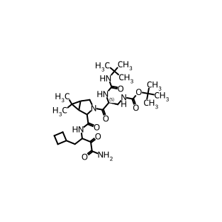 CC(C)(C)NC(=O)N[C@@H](CNC(=O)OC(C)(C)C)C(=O)N1CC2C(C1C(=O)NC(CC1CCC1)C(=O)C(N)=O)C2(C)C